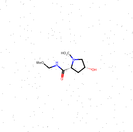 COCNC(=O)[C@H]1C[C@@H](O)CN1C(=O)O